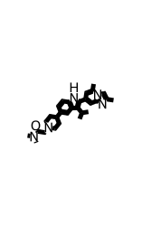 Cc1cn2c(C)cc(-c3[nH]c4ccc(C5CCN(CC(=O)N(C)C)CC5)cc4c3C(C)C)cc2n1